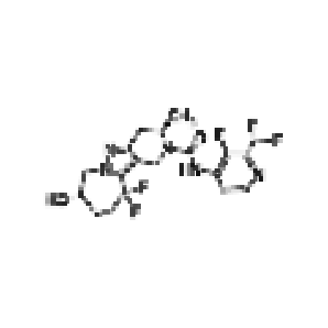 C[C@@H]1Cc2nn3c(c2CN1C(=O)Nc1ccnc(C(F)F)c1F)C(F)(F)CC[C@H](O)C3